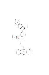 CC1C=CC2=C(C1)C1CCC2(CCC(CN(C)C)Oc2ccc(S(=O)(=O)Nc3ncns3)cc2C#N)c2ccccc21